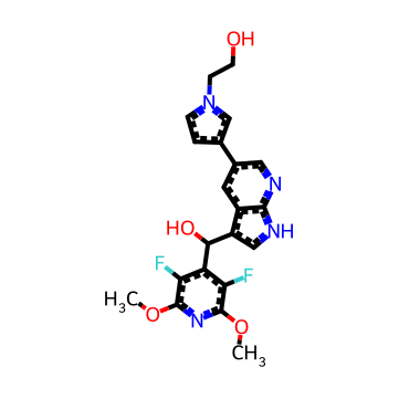 COc1nc(OC)c(F)c(C(O)c2c[nH]c3ncc(-c4ccn(CCO)c4)cc23)c1F